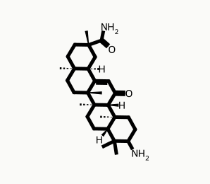 CC1(C)C(N)CC[C@]2(C)[C@H]3C(=O)C=C4[C@@H]5C[C@@](C)(C(N)=O)CC[C@]5(C)CC[C@@]4(C)[C@]3(C)CC[C@@H]12